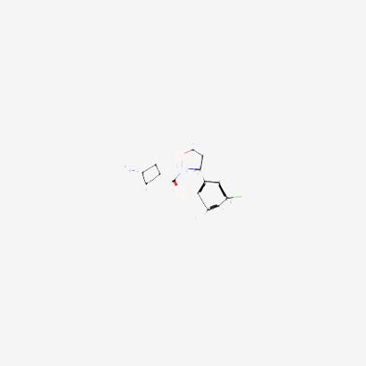 N[C@H]1C[C@H](C(=O)N2OCC[C@H]2c2cc(F)cc(F)c2)C1